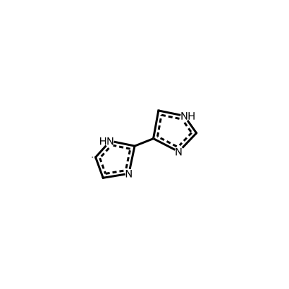 [c]1cnc(-c2c[nH]cn2)[nH]1